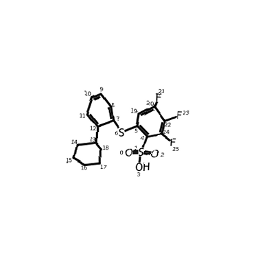 O=S(=O)(O)c1c(Sc2ccccc2C2CCCCC2)cc(F)c(F)c1F